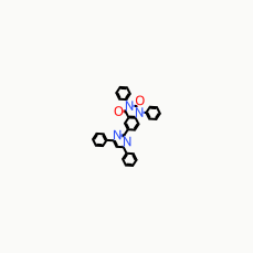 O=c1c2cc(-c3nc(-c4ccccc4)cc(-c4ccccc4)n3)ccc2n(-c2ccccc2)c(=O)n1-c1ccccc1